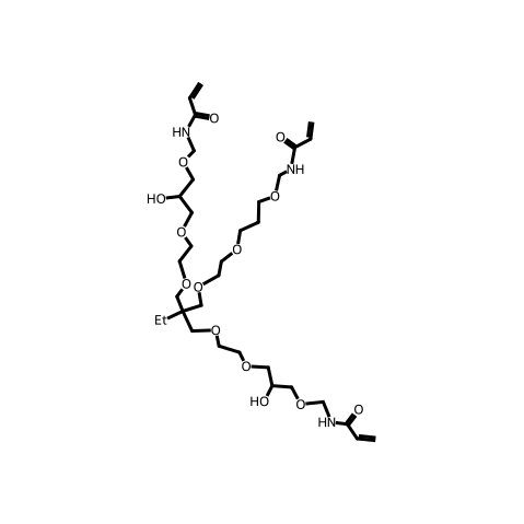 C=CC(=O)NCOCCCOCCOCC(CC)(COCCOCC(O)COCNC(=O)C=C)COCCOCC(O)COCNC(=O)C=C